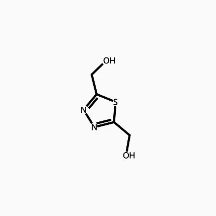 OCc1nnc(CO)s1